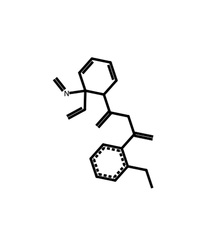 C=CC1(N=C)C=CC=CC1C(=C)CC(=C)c1ccccc1CC